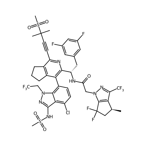 C[C@H]1CC(F)(F)c2c1c(C(F)(F)F)nn2CC(=O)N[C@@H](Cc1cc(F)cc(F)c1)c1nc(C#CC(C)(C)S(C)(=O)=O)c2c(c1-c1ccc(Cl)c3c(NS(C)(=O)=O)nn(CC(F)(F)F)c13)CCC2